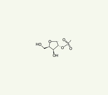 CS(=O)(=O)O[C@H]1[CH]O[C@H](CO)[C@@H]1O